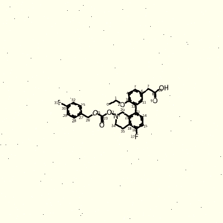 CCOc1ccc(CC(=O)O)cc1-c1ccc(F)c2c1CN(OC(=O)OCc1ccc(F)cc1)CC2